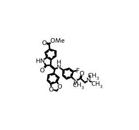 COC(=O)c1ccc2c(c1)NC(=O)C2=C(Nc1ccc(N(C)C(=O)CN(C)C)c(F)c1)c1ccc2c(c1)OCO2